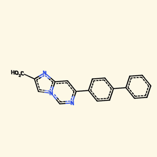 O=C(O)c1cn2cnc(-c3ccc(-c4ccccc4)cc3)cc2n1